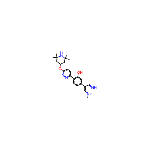 CN/C=C(\C=N)c1ccc(-c2ccc(OC3CC(C)(C)NC(C)(C)C3)nn2)c(O)c1